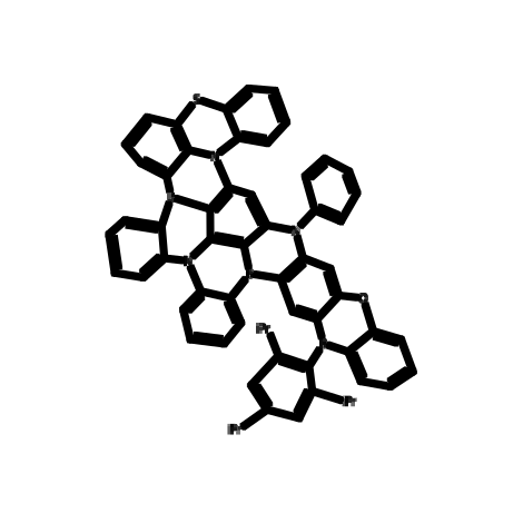 CC(C)c1cc(C(C)C)c(B2c3ccccc3Oc3cc4c(cc32)B2c3ccccc3N3c5ccccc5B5c6cccc7c6N(c6ccccc6S7)c6cc(c2c3c65)N4c2ccccc2)c(C(C)C)c1